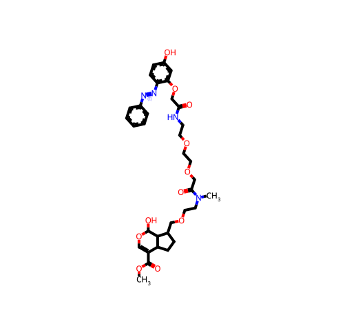 COC(=O)C1=COC(O)C2C(COCCN(C)C(=O)COCCOCCNC(=O)COc3cc(O)ccc3/N=N/c3ccccc3)CCC12